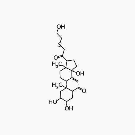 CC12CC(O)C(O)CC1C(=O)C=C1C2CCC2(C)C(C(=O)CSCCO)CCC12O